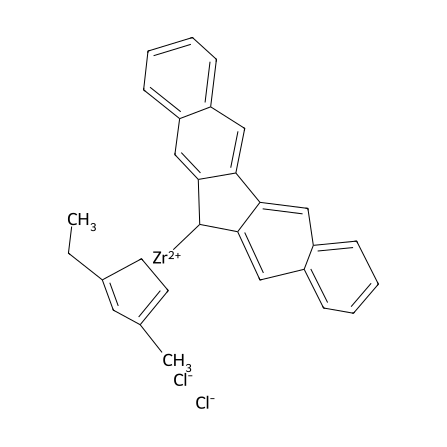 CCC1=CC(C)=CC1.[Cl-].[Cl-].[Zr+2][CH]1c2cc3ccccc3cc2-c2cc3ccccc3cc21